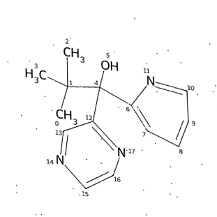 CC(C)(C)C(O)(c1ccccn1)c1cnccn1